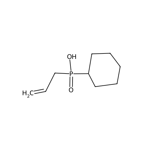 C=CCP(=O)(O)C1CCCCC1